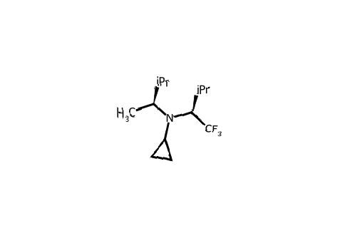 CC(C)[C@H](N(C1CC1)[C@@H](C)C(C)C)C(F)(F)F